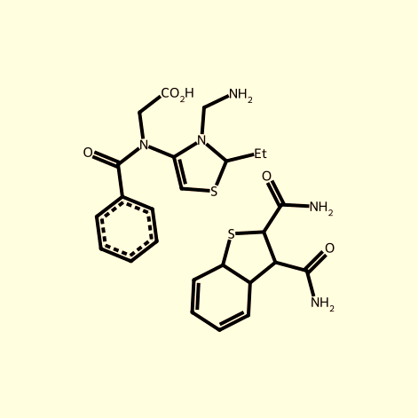 CCC1SC=C(N(CC(=O)O)C(=O)c2ccccc2)N1CN.NC(=O)C1SC2C=CC=CC2C1C(N)=O